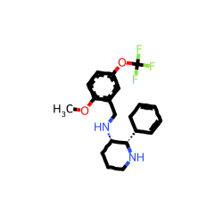 COc1ccc(OC(F)(F)F)cc1CN[C@H]1CCCN[C@H]1C1C=CC=CC1